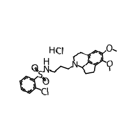 COc1cc2c3c(c1OC)CCC3N(CCCNS(=O)(=O)c1ccccc1Cl)CC2.Cl